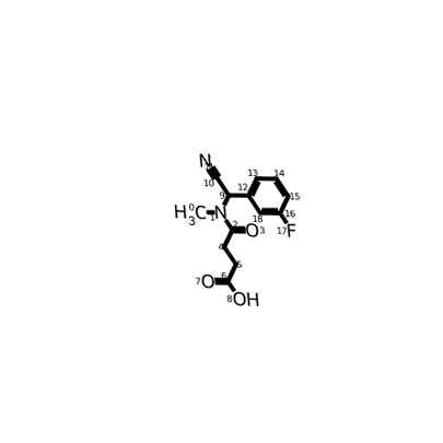 CN(C(=O)CCC(=O)O)C(C#N)c1cccc(F)c1